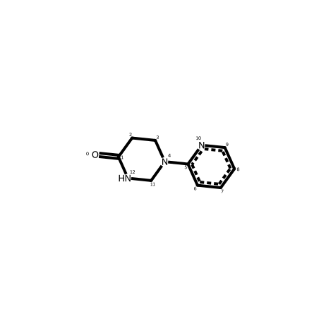 O=C1CCN(c2ccccn2)CN1